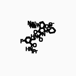 CC(C)NC(=O)c1cc(F)ccc1CNC(=O)c1nc(N2CCCCS2([O-])[O-])c2cccnc2c1[O-].[Na+].[Na+].[Na+]